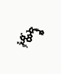 CN(C)Cc1cnc(F)cc1-c1cccc2cc(-c3nc(NCCn4ccnn4)ncc3F)sc12